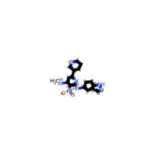 CNc1cc(-c2cccnc2)nc(Nc2ccc3[nH]ncc3c2)c1[N+](=O)[O-]